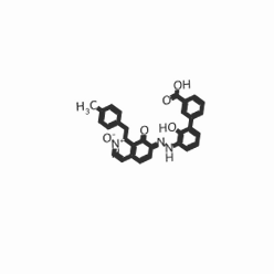 Cc1ccc(CC2C3=C(C=CC(=NNc4cccc(-c5cccc(C(=O)O)c5)c4O)C3=O)C=C[NH+]2[O-])cc1